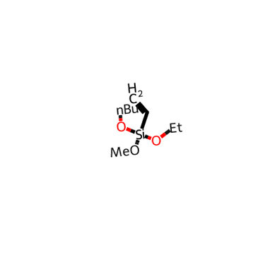 C=C[Si](OC)(OCC)OCCCC